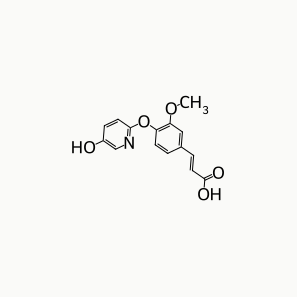 COc1cc(C=CC(=O)O)ccc1Oc1ccc(O)cn1